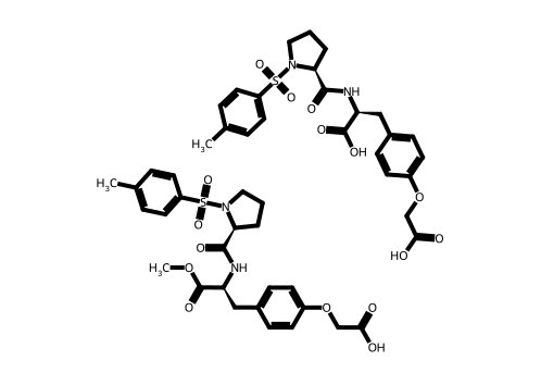 COC(=O)[C@H](Cc1ccc(OCC(=O)O)cc1)NC(=O)[C@@H]1CCCN1S(=O)(=O)c1ccc(C)cc1.Cc1ccc(S(=O)(=O)N2CCC[C@H]2C(=O)N[C@@H](Cc2ccc(OCC(=O)O)cc2)C(=O)O)cc1